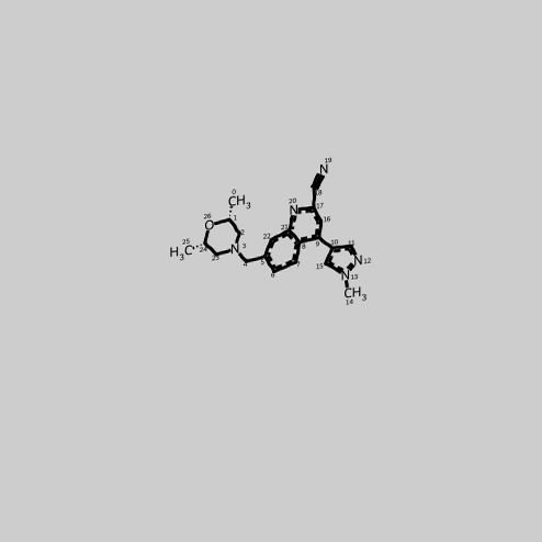 C[C@@H]1CN(Cc2ccc3c(-c4cnn(C)c4)cc(C#N)nc3c2)C[C@H](C)O1